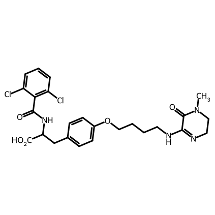 CN1CCN=C(NCCCCOc2ccc(CC(NC(=O)c3c(Cl)cccc3Cl)C(=O)O)cc2)C1=O